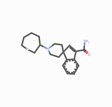 NC(=O)C1=CC2(CCN(C3CCCCCC3)CC2)c2ccccc21